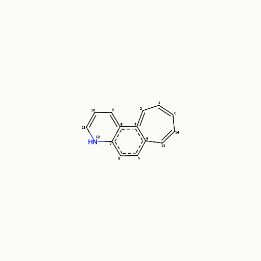 C1=CC=c2c(ccc3c2=CC=CN3)C=C1